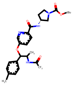 Cc1ccc(C(Oc2ccc(C(=O)N[C@@H]3CCN(C(=O)OC(C)(C)C)C3)nc2)C(C)NC(=O)C(F)(F)F)cc1